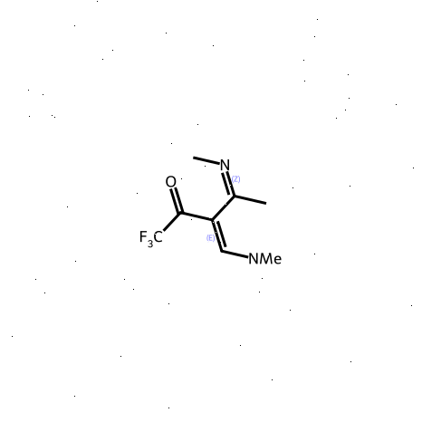 C/N=C(C)\C(=C/NC)C(=O)C(F)(F)F